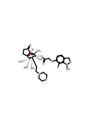 C[C@@H]1CC[C@@]23CCC(=O)[C@H]2[C@]1(C)[C@H](OC(=O)COc1ccc2c(c1F)B(O)OC2)C[C@@](C)(CCN1CCOCC1)[C@@H](O)[C@@H]3C